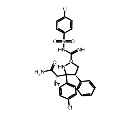 CC(C)[C@H](C(N)=O)C1(c2ccc(Cl)cc2)NN(C(=N)NS(=O)(=O)c2ccc(Cl)cc2)C[C@H]1c1ccccc1